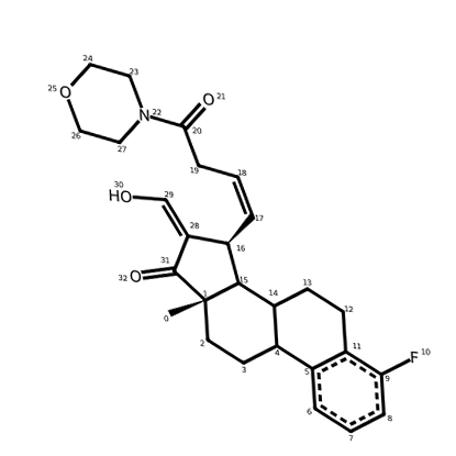 C[C@]12CCC3c4cccc(F)c4CCC3C1[C@H](/C=C\CC(=O)N1CCOCC1)/C(=C/O)C2=O